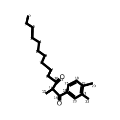 CCCCCCCCCCC(=O)C(C)C(=O)c1ccc(C)c(C)c1